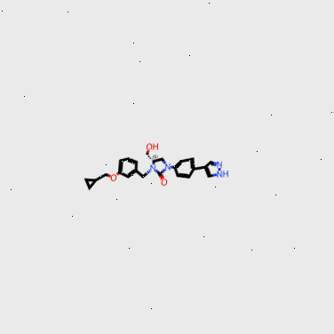 O=C1N(c2ccc(-c3cn[nH]c3)cc2)C[C@@H](CO)N1Cc1cccc(OCC2CC2)c1